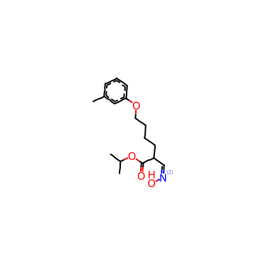 Cc1cccc(OCCCCC(/C=N\O)C(=O)OC(C)C)c1